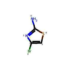 Nc1nc(Br)cs1